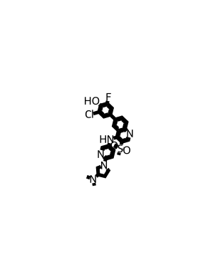 CN(C)C1CCN(c2ccc(Nc3c(S(C)(=O)=O)cnc4ccc(-c5cc(F)c(O)c(Cl)c5)cc34)cn2)C1